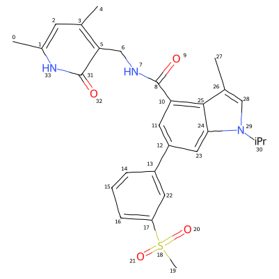 Cc1cc(C)c(CNC(=O)c2cc(-c3cccc(S(C)(=O)=O)c3)cc3c2c(C)cn3C(C)C)c(=O)[nH]1